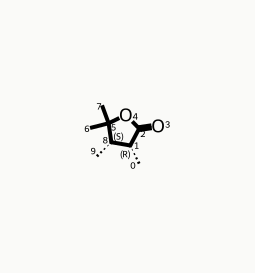 C[C@H]1C(=O)OC(C)(C)[C@H]1C